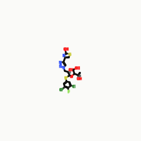 C[C@@H](O)C(CO)OC(Sc1cc(Cl)c(F)c(Cl)c1)[C@@H](O)Cn1cc(-c2csc(O)n2)nn1